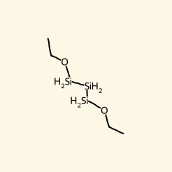 CCO[SiH2][SiH2][SiH2]OCC